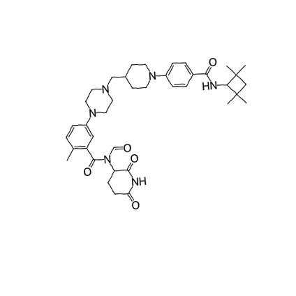 Cc1ccc(N2CCN(CC3CCN(c4ccc(C(=O)NC5C(C)(C)CC5(C)C)cc4)CC3)CC2)cc1C(=O)N(C=O)C1CCC(=O)NC1=O